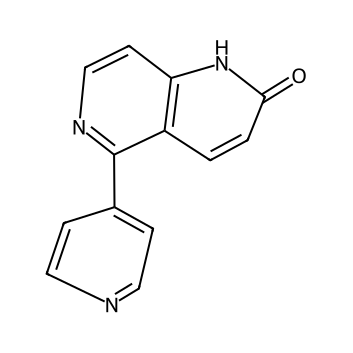 O=c1ccc2c(-c3ccncc3)nccc2[nH]1